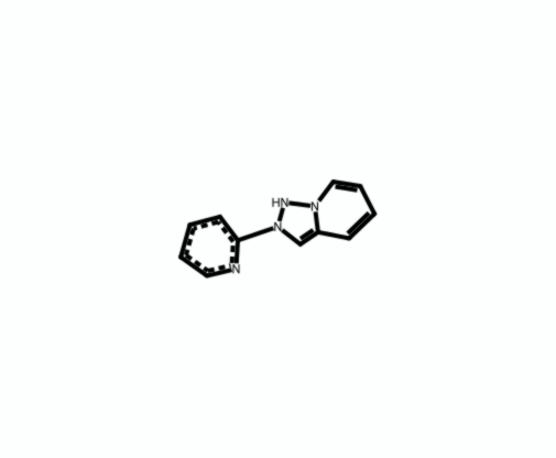 C1=CC2=CN(c3ccccn3)NN2C=C1